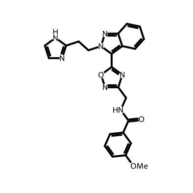 COc1cccc(C(=O)NCc2noc(-c3c4ccccc4nn3CCc3ncc[nH]3)n2)c1